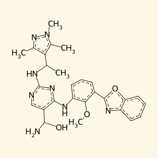 COc1c(Nc2nc(NC(C)c3c(C)nn(C)c3C)ncc2C(N)O)cccc1-c1nc2ccccc2o1